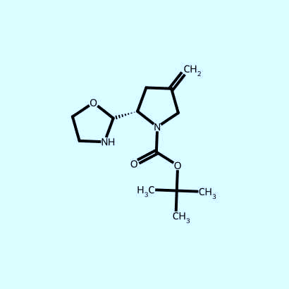 C=C1C[C@@H](C2NCCO2)N(C(=O)OC(C)(C)C)C1